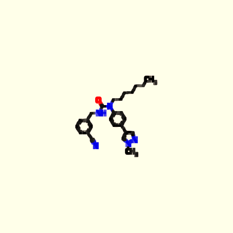 CCCCCCCN(C(=O)NCc1cccc(C#N)c1)c1ccc(-c2cnn(C)c2)cc1